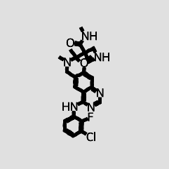 CNC(=O)C1(C(C)(C)N(C)Cc2cc3c(Nc4cccc(Cl)c4F)ncnc3cc2OC)CNC1